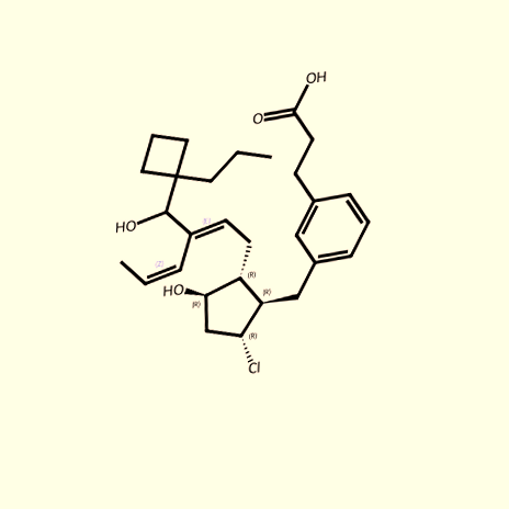 C/C=C\C(=C/C[C@@H]1[C@@H](Cc2cccc(CCC(=O)O)c2)[C@H](Cl)C[C@H]1O)C(O)C1(CCC)CCC1